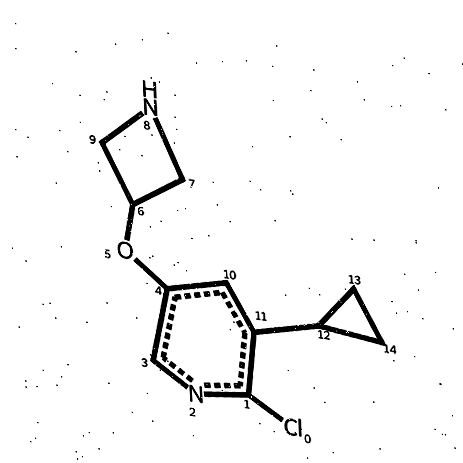 Clc1ncc(OC2CNC2)cc1C1CC1